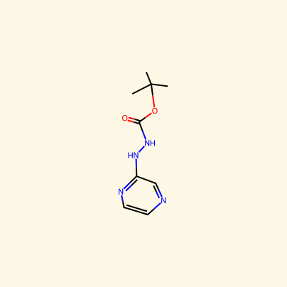 CC(C)(C)OC(=O)NNc1cnccn1